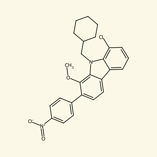 COc1c(-c2ccc([N+](=O)[O-])cc2)ccc2c3cccc(Cl)c3n(CC3CCCCC3)c12